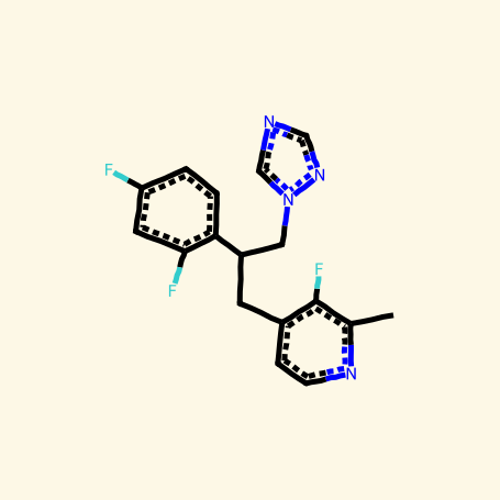 Cc1nccc(CC(Cn2cncn2)c2ccc(F)cc2F)c1F